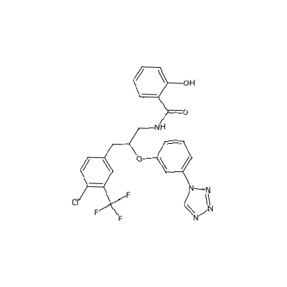 O=C(NCC(Cc1ccc(Cl)c(C(F)(F)F)c1)Oc1cccc(-n2cnnn2)c1)c1ccccc1O